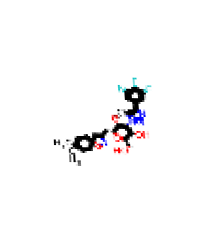 CO[C@@H]1[C@@H](n2cc(-c3cc(F)c(F)c(F)c3)nn2)[C@@H](O)[C@@H](CO)O[C@@H]1CC1=NOC2(CCC(C)(C)CC2)C1